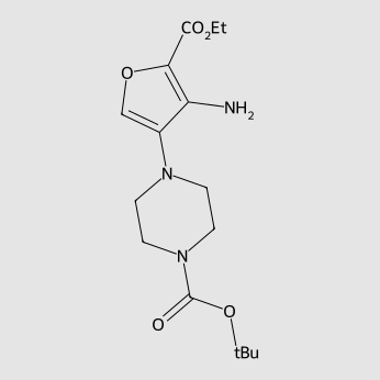 CCOC(=O)c1occ(N2CCN(C(=O)OC(C)(C)C)CC2)c1N